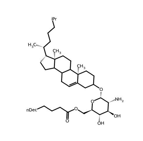 CCCCCCCCCCCCCC(=O)OC[C@H]1O[C@H](OC2CC[C@@]3(C)C(=CCC4C3CC[C@@]3(C)C4CC[C@@H]3[C@H](C)CCCC(C)C)C2)[C@H](N)[C@@H](O)[C@@H]1O